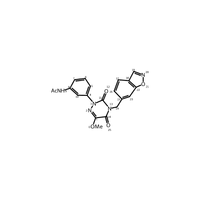 COc1nn(-c2cccc(NC(C)=O)c2)c(=O)n(Cc2ccc3cnoc3c2)c1=O